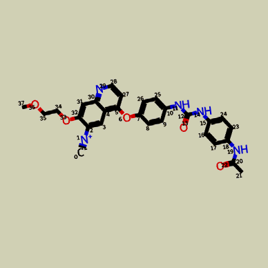 [C-]#[N+]c1cc2c(Oc3ccc(NC(=O)Nc4ccc(NC(C)=O)cc4)cc3)ccnc2cc1OCCOC